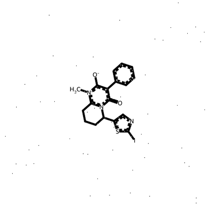 C[n+]1c([O-])c(-c2ccccc2)c(=O)n2c1CCCC2c1cnc(I)s1